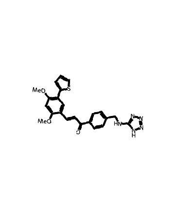 COc1cc(OC)c(-c2cccs2)cc1/C=C/C(=O)c1ccc(CNc2nnn[nH]2)cc1